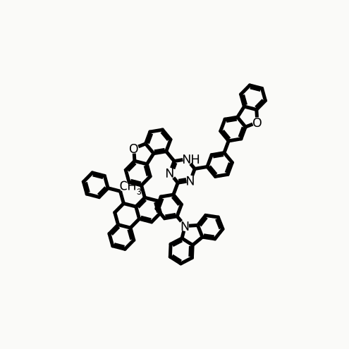 CC(c1ccccc1)C1Cc2ccccc2-c2cccc(-c3ccc4oc5cccc(C6=NC(c7cccc(-n8c9ccccc9c9ccccc98)c7)=NC(c7cccc(-c8ccc9c(c8)oc8ccccc89)c7)N6)c5c4c3)c21